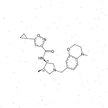 C[C@@H]1CN(Cc2ccc3c(c2)OCCN3C)C[C@@H]1NC(=O)c1cc(C2CC2)on1